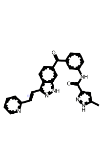 Cc1cc(C(=O)Nc2cccc(C(=O)c3ccc4c(/C=C/c5ccccn5)n[nH]c4c3)c2)n[nH]1